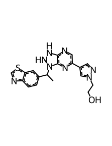 CC(c1ccc2ncsc2c1)N1NNc2ncc(-c3cnn(CCO)c3)nc21